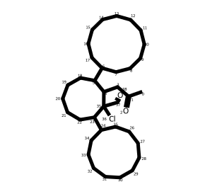 CC(=O)CC1C(C2CCCCCCCCCCC2)CCCCCC(C2CCCCCCCCCC2)C1(Cl)C=O